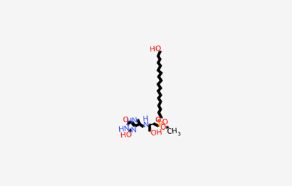 CCOP(=O)(CC[C@@H](CO)NCC1CNc2c1nc(O)[nH]c2=O)OCCCCCCCCCCCCCCCCCCCO